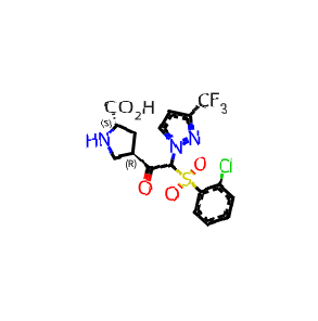 O=C(C(n1ccc(C(F)(F)F)n1)S(=O)(=O)c1ccccc1Cl)[C@H]1CN[C@H](C(=O)O)C1